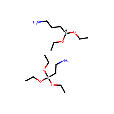 CCO[SiH](CCCN)OCC.CCO[Si](CCN)(OCC)OCC